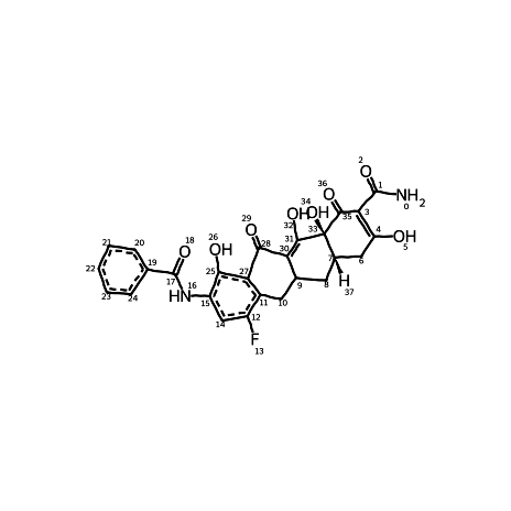 NC(=O)C1=C(O)C[C@@H]2CC3Cc4c(F)cc(NC(=O)c5ccccc5)c(O)c4C(=O)C3=C(O)[C@]2(O)C1=O